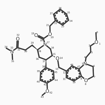 COCCCN1CCOc2ccc(CO[C@H]3CN(C(=O)OCc4ccccc4)[C@H](CCC(=O)N(C)C)C[C@@H]3c3ccc(OC)cc3)cc21